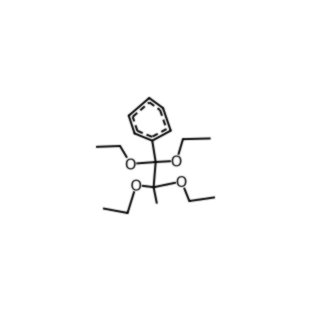 CCOC(C)(OCC)C(OCC)(OCC)c1ccccc1